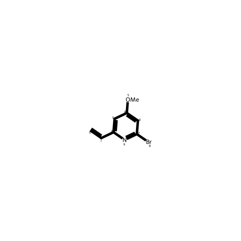 C=Cc1cc(OC)cc(Br)n1